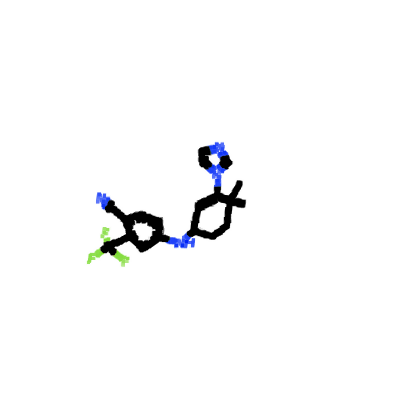 CC1(C)CCC(Nc2ccc(C#N)c(C(F)(F)F)c2)C=C1n1ccnc1